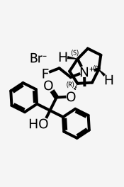 C[N+]1(CCF)[C@@H]2CC[C@H]1C[C@@H](OC(=O)C(O)(c1ccccc1)c1ccccc1)C2.[Br-]